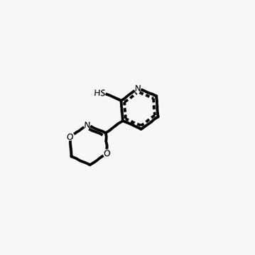 Sc1ncccc1C1=NOCCO1